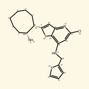 N[C@@H]1CCCCCC[C@@H]1c1cc2nc(Cl)cc(NCc3cccs3)c2s1